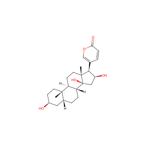 C[C@]12CC[C@H](O)C[C@H]1CC[C@@H]1[C@@H]2CC[C@]2(C)[C@@H](c3ccc(=O)oc3)[C@@H](O)C[C@]12O